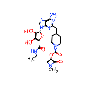 CCNC(=O)[C@H]1O[C@@H](n2cnc3c(N)nc(CC4CCN(C(=O)OC5CN(C)C5=O)CC4)nc32)C(O)C1O